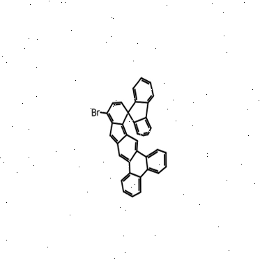 BrC1=C2C=c3cc4c5ccccc5c5ccccc5c4cc3=C2C2(C=C1)c1ccccc1-c1ccccc12